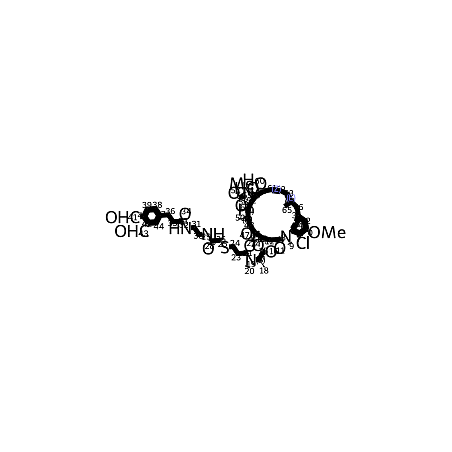 COc1cc2cc(c1Cl)N(C)C(=O)C[C@@H](OC(=O)[C@H](C)N(C)C(=O)CCSCC(=O)NCCNC(=O)CCc1ccc(C=O)c(C=O)c1)[C@]1(C)OC1[C@H](C)[C@@H]1CC(O)(NC(=O)O1)C(OC)/C=C\C=C(/C)C2